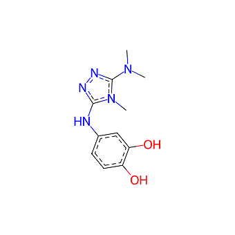 CN(C)c1nnc(Nc2ccc(O)c(O)c2)n1C